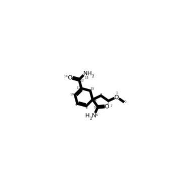 COCCC1(C(N)=O)C=CC=C(C(N)=O)C1